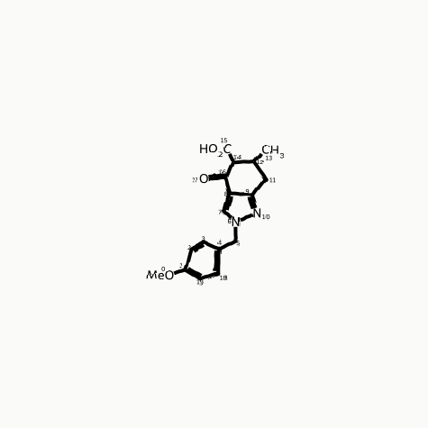 COc1ccc(Cn2cc3c(n2)CC(C)C(C(=O)O)C3=O)cc1